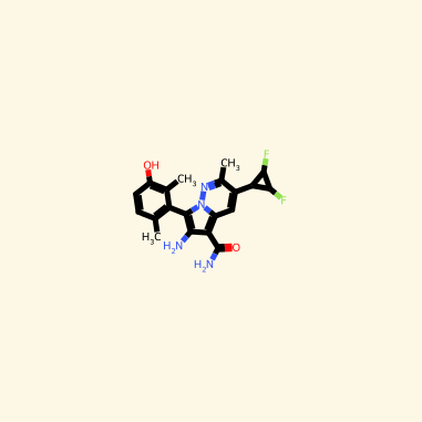 Cc1ccc(O)c(C)c1-c1c(N)c(C(N)=O)c2cc(C3C(F)C3F)c(C)nn12